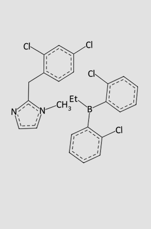 CCB(c1ccccc1Cl)c1ccccc1Cl.Cn1ccnc1Cc1ccc(Cl)cc1Cl